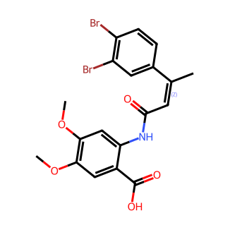 COc1cc(NC(=O)/C=C(/C)c2ccc(Br)c(Br)c2)c(C(=O)O)cc1OC